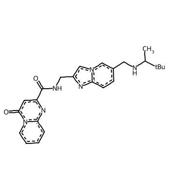 CC(NCc1ccc2nc(CNC(=O)c3cc(=O)n4ccccc4n3)cn2c1)C(C)(C)C